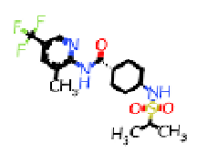 Cc1cc(C(F)(F)F)cnc1NC(=O)[C@H]1CC[C@H](NS(=O)(=O)C(C)C)CC1